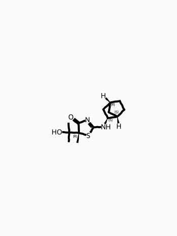 CC(C)(O)[C@@]1(C)SC(N[C@H]2C[C@@H]3CC[C@H]2C3)=NC1=O